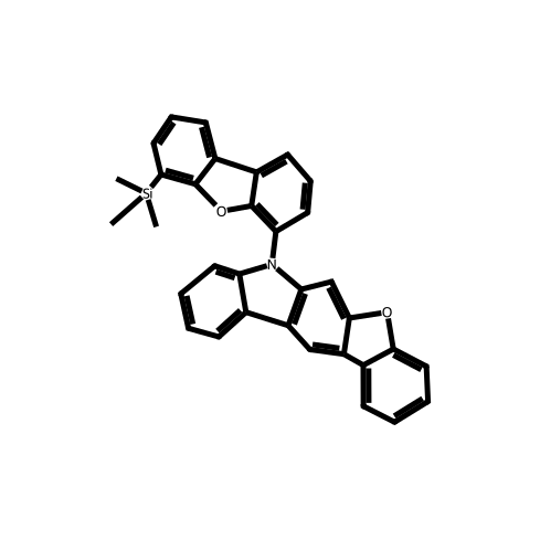 C[Si](C)(C)c1cccc2c1oc1c(-n3c4ccccc4c4cc5c(cc43)oc3ccccc35)cccc12